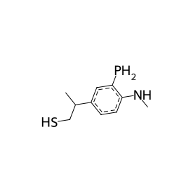 CNc1ccc(C(C)CS)cc1P